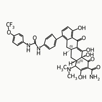 CN(C)C1C(O)=C(C(N)=O)C(=O)[C@@]2(O)C(O)=C3C(=O)c4c(O)ccc(-c5ccc(NC(=O)Nc6ccc(OC(F)(F)F)cc6)cc5)c4C[C@@H]3C[C@@H]12